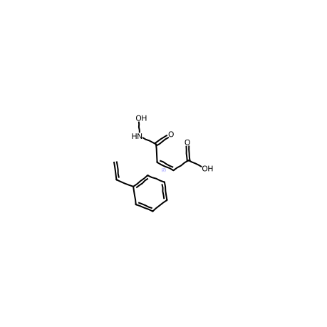 C=Cc1ccccc1.O=C(O)/C=C\C(=O)NO